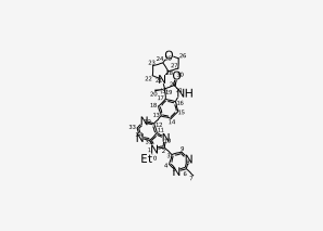 CCn1c(-c2cnc(C)nc2)nc2c(-c3ccc4c(c3)[C@](C)(N3CCC5OCCC53)C(=O)N4)ncnc21